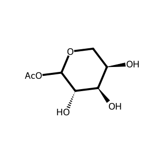 CC(=O)OC1OC[C@@H](O)[C@@H](O)[C@@H]1O